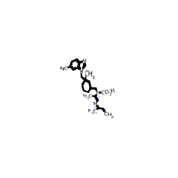 C=C/C(=N\C=C(/C)N(CC1CCCC(C)(Cn2cnc3ccc(C#N)cc32)C1)C(=O)O)C(F)(F)F